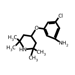 CC1(C)CC(Oc2cc(N)cc(Cl)c2)CC(C)(C)N1